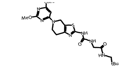 COc1cc(N2CCc3nc(NC(=O)NCC(=O)NCC(C)(C)C)sc3C2)nc(OC)n1